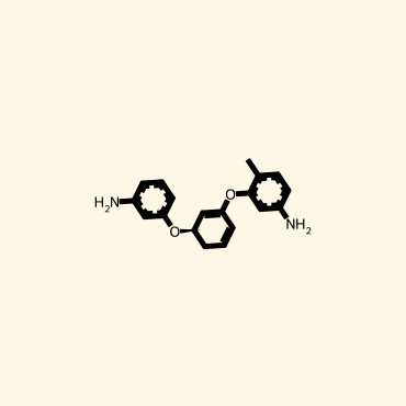 Cc1ccc(N)cc1OC1=C[C@H](Oc2cccc(N)c2)CC=C1